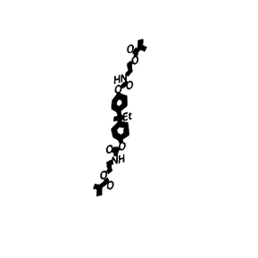 C=C(C)C(=O)OCCNC(=O)Oc1ccc(C(C)(CC)c2ccc(OC(=O)NCCOC(=O)C(=C)C)cc2)cc1